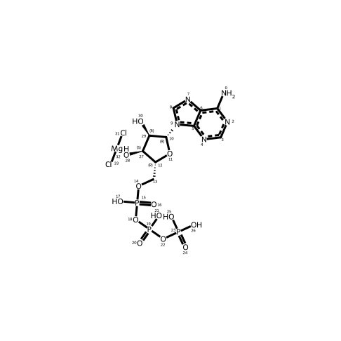 Nc1ncnc2c1ncn2[C@@H]1O[C@H](COP(=O)(O)OP(=O)(O)OP(=O)(O)O)[C@@H](O)[C@H]1O.[Cl][Mg][Cl]